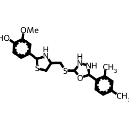 COc1cc(C2NC(CSC3NNC(c4ccc(C)cc4C)O3)CS2)ccc1O